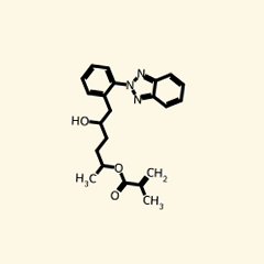 C=C(C)C(=O)OC(C)CCC(O)Cc1ccccc1-n1nc2ccccc2n1